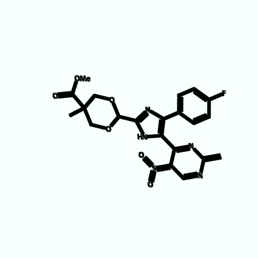 C=C1N=CC(=S(=O)=O)C(c2[nH]c(C3OCC(C)(C(=O)OC)CO3)nc2-c2ccc(F)cc2)=N1